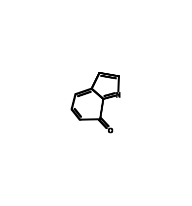 O=C1C=CC=C2C=CN=C12